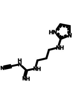 N#CNC(=N)NCCCNc1ncc[nH]1